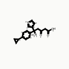 NC(CC(=O)CC(=O)O)(c1ccc(C2CC2)cc1)c1ccsc1